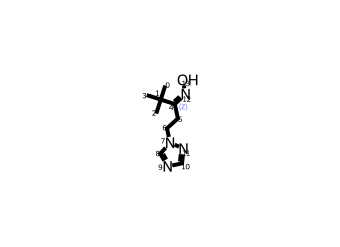 CC(C)(C)/C(CCn1cncn1)=N\O